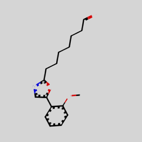 COc1ccccc1-c1cnc(CCCCCCC=O)o1